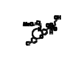 COC[C@@H]1CC[C@H]1CN1CCCCc2cc(Cl)ccc2COc2ccc(C(=O)NS(=O)(=O)CCCO)cc21